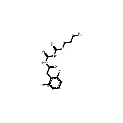 N=C(NC(=O)Cc1c(Cl)cccc1Cl)NC(=O)OCCCO